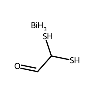 O=CC(S)S.[BiH3]